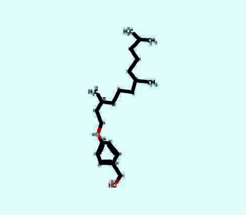 CC(C)CCCC(C)CCCC(C)CCOc1ccc(CO)cc1